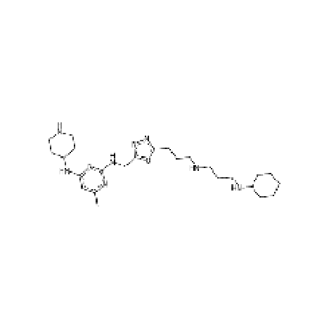 Cc1cc(NC2CCNCC2)nc(NCc2nnc(CCCNCCCNC3CCCCC3)o2)n1